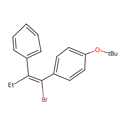 CCC(=C(Br)c1ccc(OC(C)(C)C)cc1)c1ccccc1